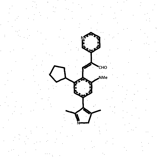 CNc1cc(C2=C(C)CN=C2C)cc(C2CCCC2)c1/C=C(\C=O)c1cccnc1